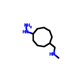 CNCC1CCCCC(NN)CCC1